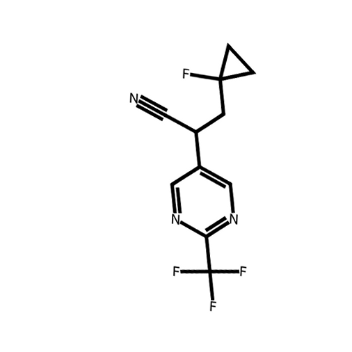 N#CC(CC1(F)CC1)c1cnc(C(F)(F)F)nc1